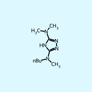 CCCCN(C)c1nnc(N(C)C)[nH]1